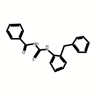 O=C(NC(=S)Nc1ccccc1Cc1ccccc1)c1ccccc1